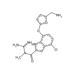 CN(C(=N)N)C(=O)c1cc2c(Cl)ccc(Oc3ccc(CN)o3)c2[nH]1